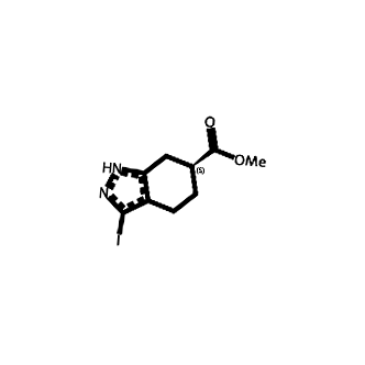 COC(=O)[C@H]1CCc2c(I)n[nH]c2C1